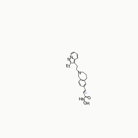 CCc1nn2ccccc2c1CCN1CCCc2cc(/C=C/C(=O)NO)ccc2C1